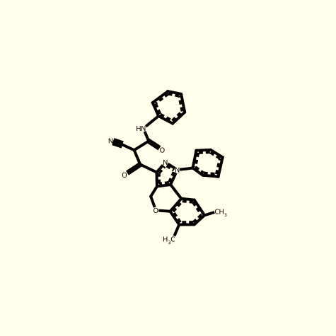 Cc1cc(C)c2c(c1)-c1c(c(C(=O)C(C#N)C(=O)Nc3ccccc3)nn1-c1ccccc1)CO2